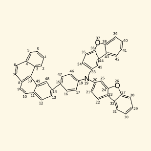 c1ccc2c(c1)ccc1ccc3ccc(-c4ccc(N(c5ccc6c(c5)oc5ccccc56)c5ccc6oc7ccccc7c6c5)cc4)cc3c12